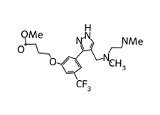 CNCCN(C)Cc1c[nH]nc1-c1cc(OCCCC(=O)OC)cc(C(F)(F)F)c1